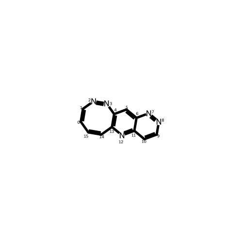 C1=CN=Nc2cc3nnccc3nc2C=C1